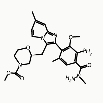 COC(=O)N1CCO[C@@H](Cc2c(-c3c(C)cc(C(=O)N(C)N)c(P)c3OC)nc3cc(C)ccn23)C1